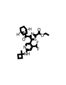 CCOC(=O)c1nc(C(=O)N2[C@H]3CC[C@@H]2CC3)c(-c2cnc(NC3(C)CCC3)cc2C(F)F)s1